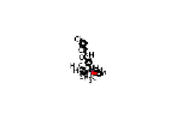 C[C@@H]1CN(/C(=N/C2CC3CCC2(C)C3(C)C)Nc2ccc(C(=O)NCCc3ccc(Cl)cc3Cl)cc2)C[C@H](C)N1